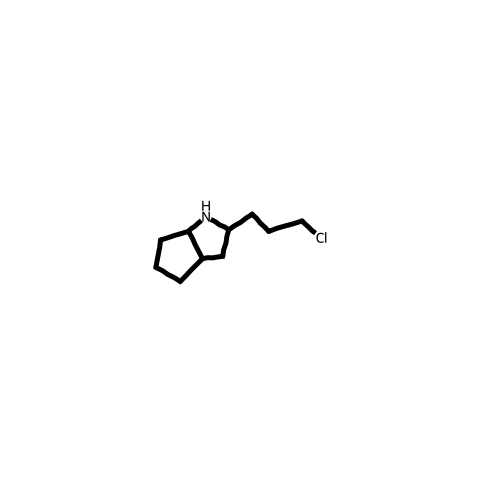 ClCCCC1CC2CCCC2N1